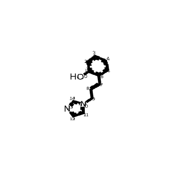 Oc1ccccc1C=CCn1ccnc1